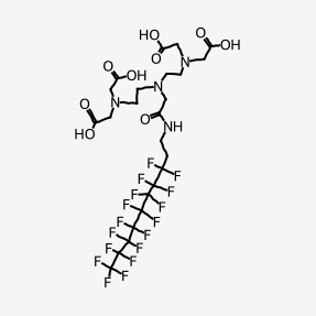 O=C(O)CN(CCN(CCN(CC(=O)O)CC(=O)O)CC(=O)NCCC(F)(F)C(F)(F)C(F)(F)C(F)(F)C(F)(F)C(F)(F)C(F)(F)C(F)(F)F)CC(=O)O